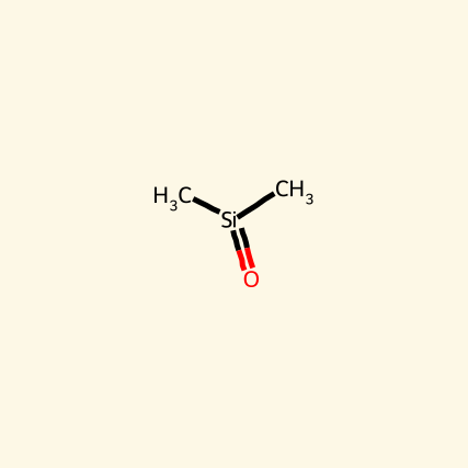 C[Si](C)=O